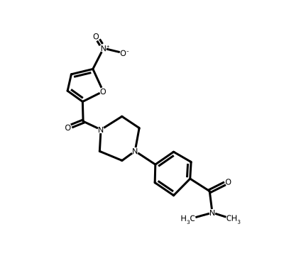 CN(C)C(=O)c1ccc(N2CCN(C(=O)c3ccc([N+](=O)[O-])o3)CC2)cc1